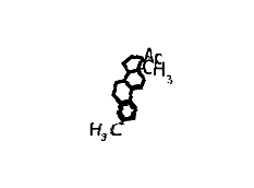 CC(=O)C1CCC2C3CCc4cc(C)ccc4C3=CC[C@]12C